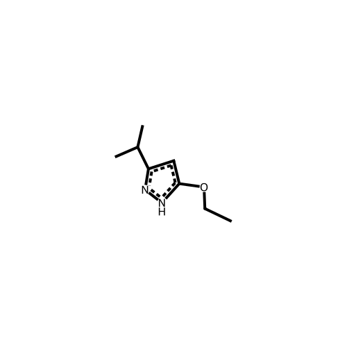 CCOc1cc(C(C)C)n[nH]1